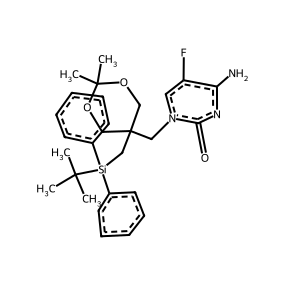 CC1(C)OCC(Cn2cc(F)c(N)nc2=O)(C[Si](c2ccccc2)(c2ccccc2)C(C)(C)C)CO1